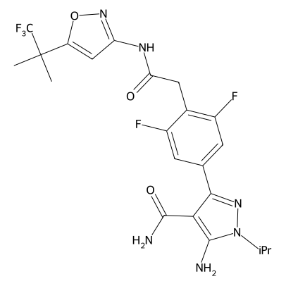 CC(C)n1nc(-c2cc(F)c(CC(=O)Nc3cc(C(C)(C)C(F)(F)F)on3)c(F)c2)c(C(N)=O)c1N